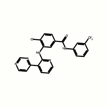 O=C(Nc1cccc(C(F)(F)F)c1)c1ccc(Cl)c(Nc2ncccc2-c2ccncn2)c1